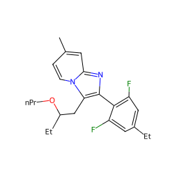 CCCOC(CC)Cc1c(-c2c(F)cc(CC)cc2F)nc2cc(C)ccn12